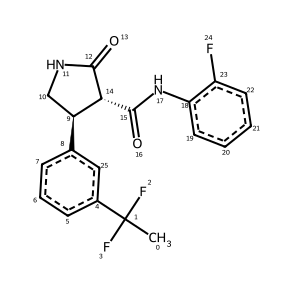 CC(F)(F)c1cccc([C@H]2CNC(=O)[C@@H]2C(=O)Nc2ccccc2F)c1